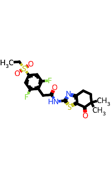 CCS(=O)(=O)c1cc(F)c(CC(=O)Nc2nc3c(s2)C(=O)C(C)(C)CC3)c(F)c1